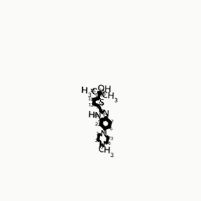 CN1CCN(c2ccc3nc(-c4ccc(C(C)(C)O)s4)[nH]c3c2)CC1